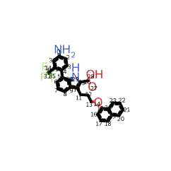 Nc1ccc(-c2cccc3c(CCCOc4cccc5ccccc45)c(C(=O)O)[nH]c23)c(C(F)(F)F)c1